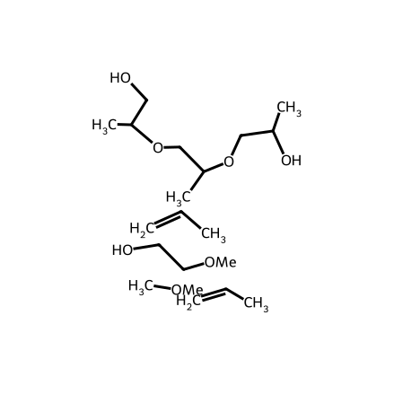 C=CC.C=CC.CC(O)COC(C)COC(C)CO.COC.COCCO